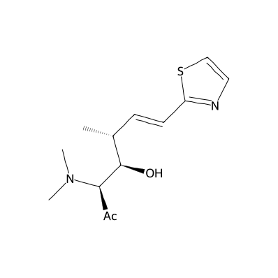 CC(=O)[C@H]([C@H](O)[C@H](C)/C=C/c1nccs1)N(C)C